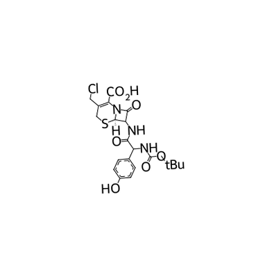 CC(C)(C)OC(=O)NC(C(=O)NC1C(=O)N2C(C(=O)O)=C(CCl)CS[C@H]12)c1ccc(O)cc1